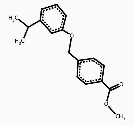 COC(=O)c1ccc(COc2cccc(C(C)C)c2)cc1